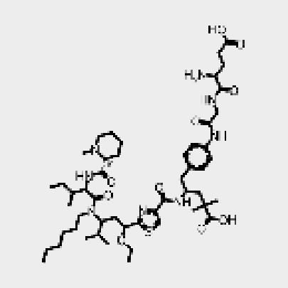 CCCCCCN(C(=O)C(NC(=O)[C@H]1CCCCN1C)C(C)CC)C(CC(OCC)c1nc(C(=O)NC(Cc2ccc(NC(=O)CNC(=O)C(N)CCC(=O)O)cc2)CC(C)(C)C(=O)O)cs1)C(C)C